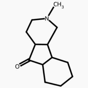 CN1CCC2C(=O)C3CCCCC3C2C1